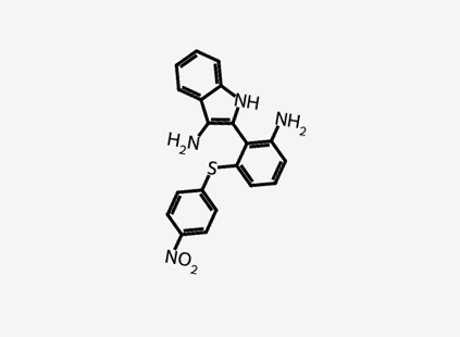 Nc1cccc(Sc2ccc([N+](=O)[O-])cc2)c1-c1[nH]c2ccccc2c1N